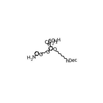 CCCCCCCCCCCCCCCCCCOc1cc(OCCCOc2cccc(N)c2)cc(N(CC(=O)O)CC(=O)O)c1